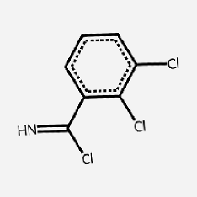 N=C(Cl)c1cccc(Cl)c1Cl